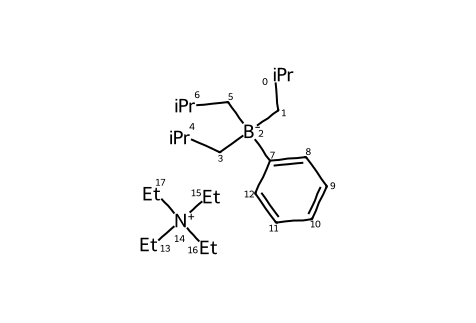 CC(C)C[B-](CC(C)C)(CC(C)C)c1ccccc1.CC[N+](CC)(CC)CC